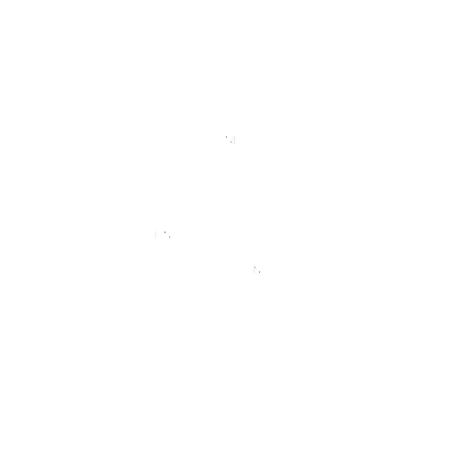 CCNC1=C(C=N)CC(N)CC1